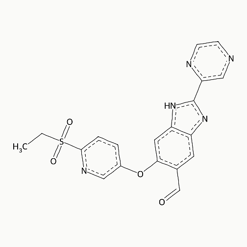 CCS(=O)(=O)c1ccc(Oc2cc3[nH]c(-c4cnccn4)nc3cc2C=O)cn1